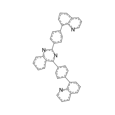 c1cnc2c(-c3ccc(-c4nc(-c5ccc(-c6cccc7cccnc67)cc5)c5ccccc5n4)cc3)cccc2c1